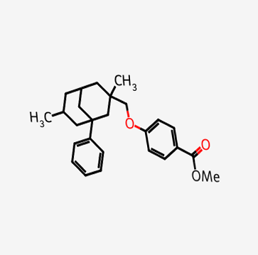 COC(=O)c1ccc(OCC2(C)CC3CC(C)CC(c4ccccc4)(C3)C2)cc1